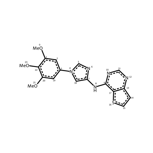 COc1cc(-n2cnc(Nc3ncnc4ccsc34)c2)cc(OC)c1OC